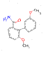 COc1cccc(-c2c(C(N)=O)[c]ccc2OC)c1